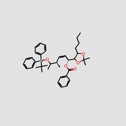 CCCCC1OC(C)(C)OC1[C@@H](/C=C\[C@@H](C)C(C)O[Si](c1ccccc1)(c1ccccc1)C(C)(C)C)OC(=O)c1ccccc1